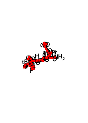 CC(C)[C@H](NC(=O)CCCCCN1C(=O)C=CC1=O)C(=O)N[C@@H](CCCNC(N)=O)C(=O)Nc1ccc(COC(=O)NCCCN(C(=O)N2CCOCC2)[C@@H](c2nc(-c3cc(F)ccc3F)cn2Cc2ccccc2)C(C)(C)C)cc1